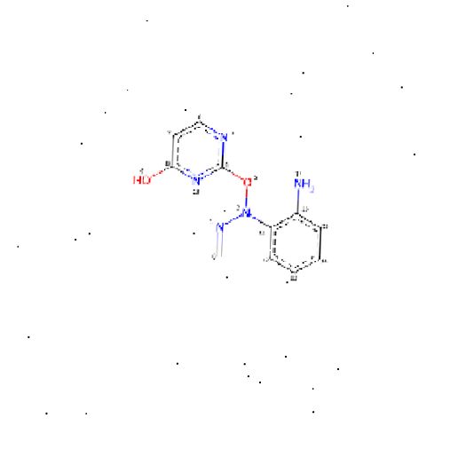 C=NN(Oc1nccc(O)n1)c1ccccc1N